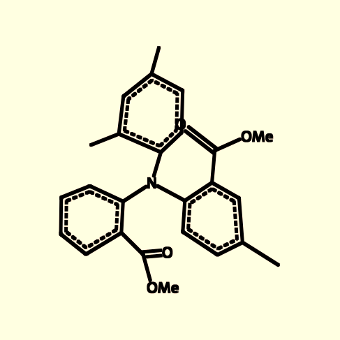 COC(=O)c1ccccc1N(c1ccc(C)cc1C)c1ccc(C)cc1C(=O)OC